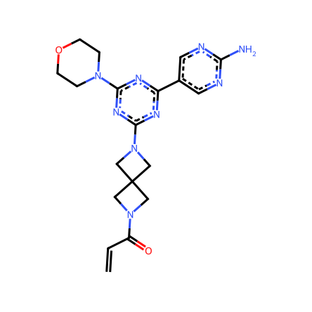 C=CC(=O)N1CC2(C1)CN(c1nc(-c3cnc(N)nc3)nc(N3CCOCC3)n1)C2